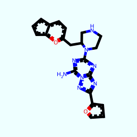 Nc1nc(N2CCNCC2Cc2ccc3cccc-3o2)nc2nc(-c3ccco3)nn12